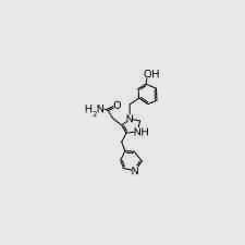 NC(=O)CC1=C(Cc2ccncc2)NCN1Cc1cccc(O)c1